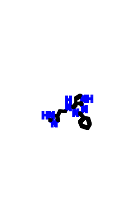 c1ccc(-c2nc(NCCc3cnc[nH]3)c3cc[nH]c3n2)cc1